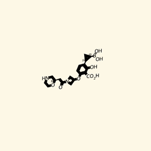 O=C(O)c1c(OC2CN(C(=O)C[C@@H]3CNCCO3)C2)ccc([C@H]2C[C@H]2B(O)O)c1O